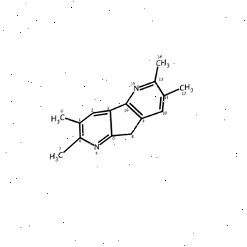 Cc1cc2c(nc1C)Cc1cc(C)c(C)nc1-2